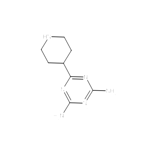 Nc1nc(N)nc(C2CCNCC2)n1